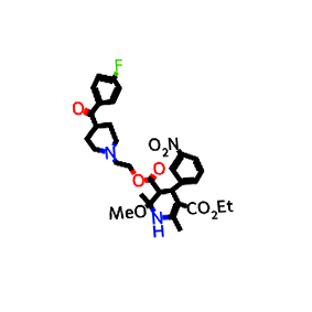 CCOC(=O)C1=C(C)NC(C)(OC)C(C(=O)OCCN2CCC(C(=O)c3ccc(F)cc3)CC2)C1c1cccc([N+](=O)[O-])c1